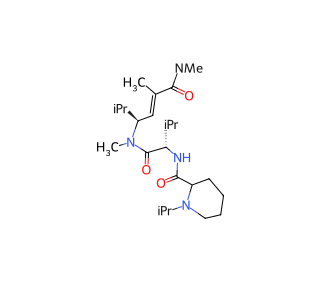 CNC(=O)/C(C)=C/[C@H](C(C)C)N(C)C(=O)[C@@H](NC(=O)C1CCCCN1C(C)C)C(C)C